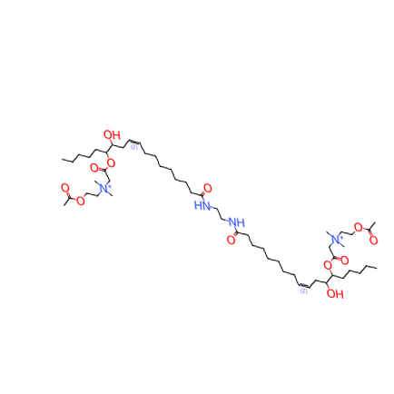 CCCCCC(OC(=O)C[N+](C)(C)CCOC(C)=O)C(O)C/C=C\CCCCCCCC(=O)NCCNC(=O)CCCCCCC/C=C\CC(O)C(CCCCC)OC(=O)C[N+](C)(C)CCOC(C)=O